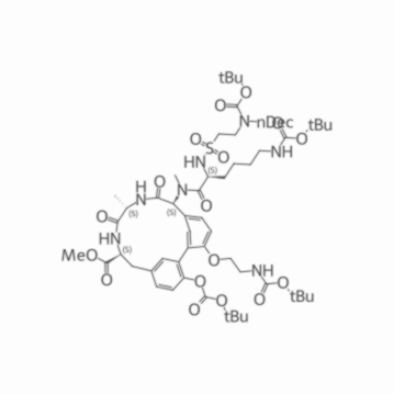 CCCCCCCCCCN(CCS(=O)(=O)N[C@@H](CCCCNC(=O)OC(C)(C)C)C(=O)N(C)[C@@H]1C(=O)N[C@@H](C)C(=O)N[C@H](C(=O)OC)Cc2ccc(OC(=O)OC(C)(C)C)c(c2)-c2cc1ccc2OCCNC(=O)OC(C)(C)C)C(=O)OC(C)(C)C